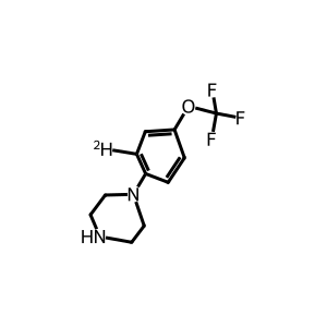 [2H]c1cc(OC(F)(F)F)ccc1N1CCNCC1